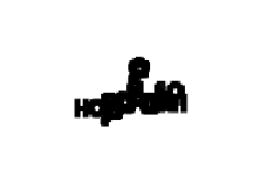 CC(Cc1ccc(OCC2CCCC2)c(-c2ccc3[nH]c(=O)sc3c2)c1)C(=O)O